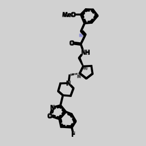 COc1ccccc1/C=C/C(=O)NC[C@H]1CCC[C@@H]1CN1CCC(c2noc3cc(F)ccc23)CC1